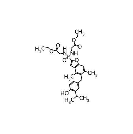 CCOC(=O)CNP(=O)(NCC(=O)OCC)c1cc2c(C)c(Cc3ccc(O)c(C(C)C)c3)c(C)cc2o1